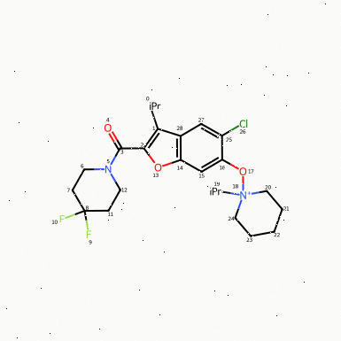 CC(C)c1c(C(=O)N2CCC(F)(F)CC2)oc2cc(O[N+]3(C(C)C)CCCCC3)c(Cl)cc12